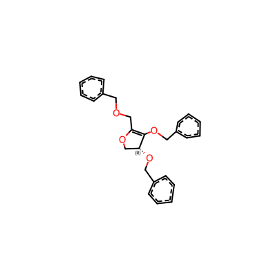 c1ccc(COCC2=C(OCc3ccccc3)[C@H](OCc3ccccc3)CO2)cc1